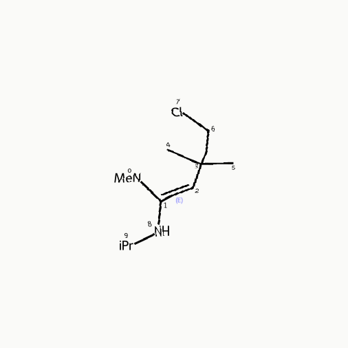 CN/C(=C\C(C)(C)CCl)NC(C)C